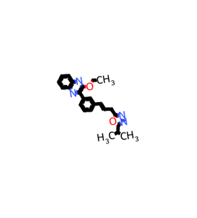 CCOc1nc2ccccc2nc1-c1cccc(/C=C/Cc2nnc(C(C)C)o2)c1